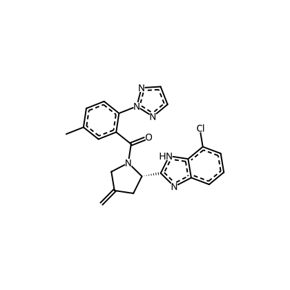 C=C1C[C@@H](c2nc3cccc(Cl)c3[nH]2)N(C(=O)c2cc(C)ccc2-n2nccn2)C1